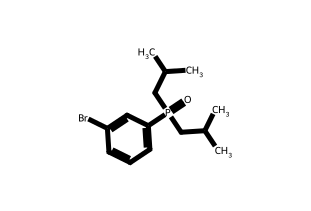 CC(C)CP(=O)(CC(C)C)c1cccc(Br)c1